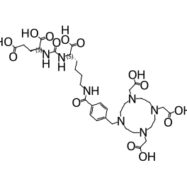 O=C(O)CC[C@H](NC(=O)N[C@@H](CCCCNC(=O)c1ccc(CN2CCN(CC(=O)O)CCN(CC(=O)O)CCN(CC(=O)O)CC2)cc1)C(=O)O)C(=O)O